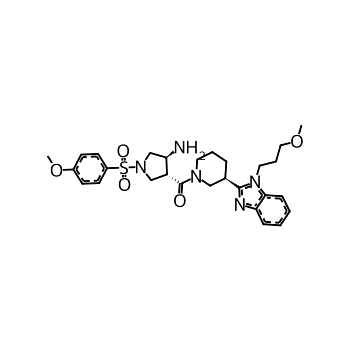 COCCCn1c([C@@H]2CCCN(C(=O)[C@@H]3CN(S(=O)(=O)c4ccc(OC)cc4)C[C@H]3N)C2)nc2ccccc21